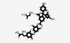 CC(N)CN.N[C@H](Cc1cc(I)c(Oc2cc(I)c(OC(=O)c3ccc4c(c3)C(=O)OC43c4ccc(O)cc4Oc4cc(O)ccc43)c(I)c2)c(I)c1)C(=O)O